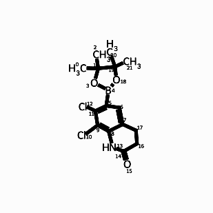 CC1(C)OB(c2cc3c(c(Cl)c2Cl)NC(=O)CC3)OC1(C)C